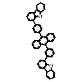 C1=CC2Oc3c(-c4cccc(-c5c6ccccc6c(-c6ccc(-c7cccc8c9c(oc78)C=CCC9)cc6)c6ccccc56)c4)cccc3C2C=C1